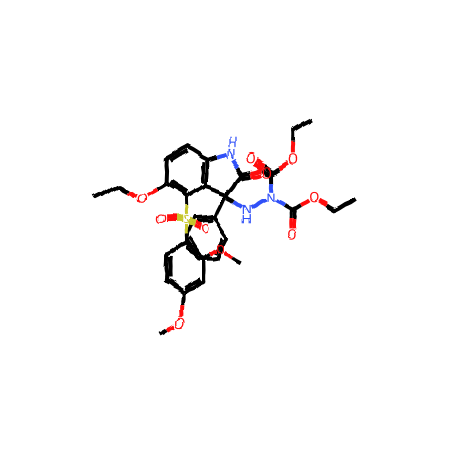 CCOC(=O)N(NC1(c2ccccc2)C(=O)Nc2ccc(OCC)c(S(=O)(=O)c3ccc(OC)cc3OC)c21)C(=O)OCC